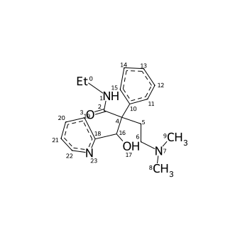 CCNC(=O)C(CCN(C)C)(c1ccccc1)C(O)c1ccccn1